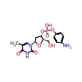 Cc1cn([C@H]2C[C@H](OP(=O)(O)Oc3ccc(N)cc3)[C@@H](CO)O2)c(=O)[nH]c1=O